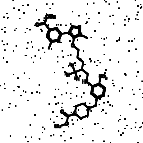 [2H]C([2H])([2H])C(CCCOc1c(-c2cc(C(=O)OC)cc(C)n2)cnn1C)CNc1cc(CN2CCN(C(=O)OC(C)(C)C)CC2)ccc1[N+](=O)[O-]